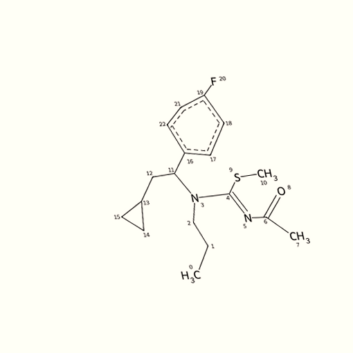 CCCN(C(=NC(C)=O)SC)C(CC1CC1)c1ccc(F)cc1